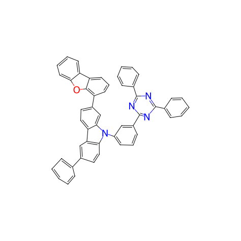 c1ccc(-c2ccc3c(c2)c2ccc(-c4cccc5c4oc4ccccc45)cc2n3-c2cccc(-c3nc(-c4ccccc4)nc(-c4ccccc4)n3)c2)cc1